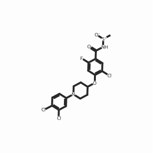 C[S+]([O-])NC(=O)c1cc(Cl)c(OC2CCN(c3ccc(Cl)c(Cl)c3)CC2)cc1F